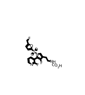 O=C(O)NCCc1cn(S(=O)(=O)c2ccc(CF)o2)c(-c2cccnc2F)c1F